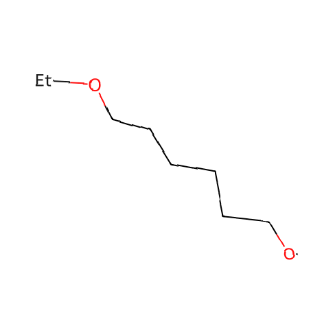 CCOCCCCCC[O]